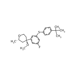 CO[C@]1(c2cc(F)cc(Sc3ccc(C(C)(C)C)cc3)c2)CCO[C@@H](C)C1